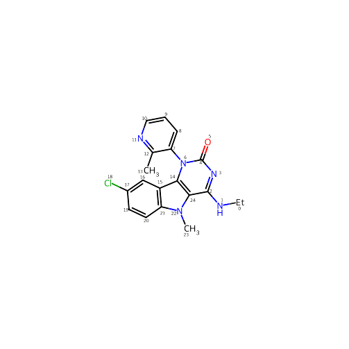 CCNc1nc(=O)n(-c2cccnc2C)c2c3cc(Cl)ccc3n(C)c12